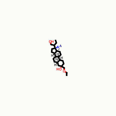 C#[N+][C@]1(C(CC)CO)CC[C@H]2[C@@H]3CC[C@@H]4C[C@@](O)(COCC)CC[C@@H]4[C@H]3CC[C@@]21C